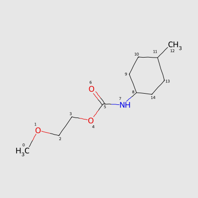 COCCOC(=O)NC1CCC(C)CC1